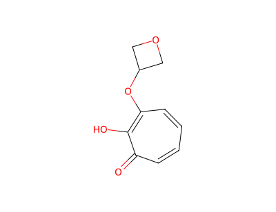 O=c1ccccc(OC2COC2)c1O